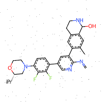 C=Nc1ncc(-c2ccc(N3CCO[C@@H](C(C)C)C3)c(F)c2F)cc1-c1cc2c(cc1C)C(O)NCC2